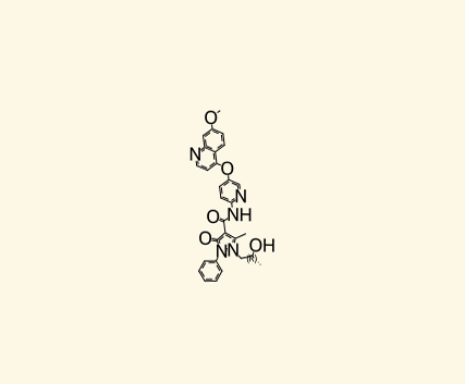 COc1ccc2c(Oc3ccc(NC(=O)c4c(C)n(C[C@@H](C)O)n(-c5ccccc5)c4=O)nc3)ccnc2c1